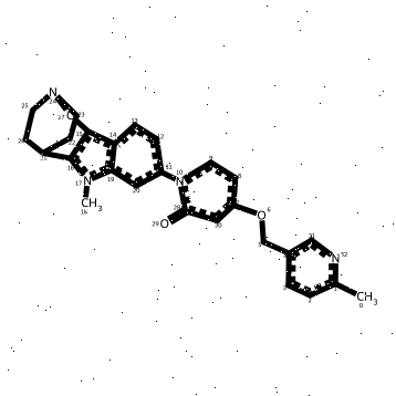 Cc1ccc(COc2ccn(-c3ccc4c5c(n(C)c4c3)C3CCN(CC3)C5)c(=O)c2)cn1